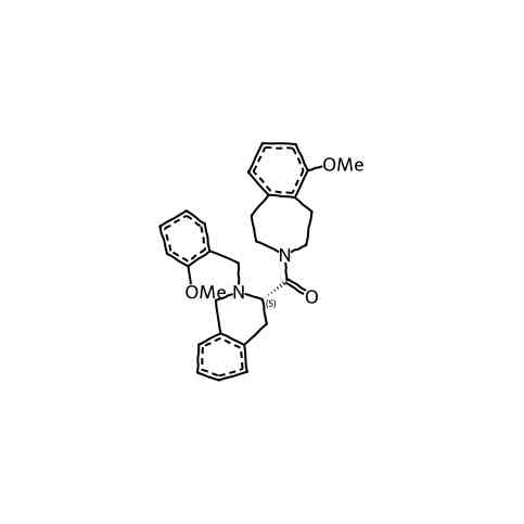 COc1ccccc1CN1Cc2ccccc2C[C@H]1C(=O)N1CCc2cccc(OC)c2CC1